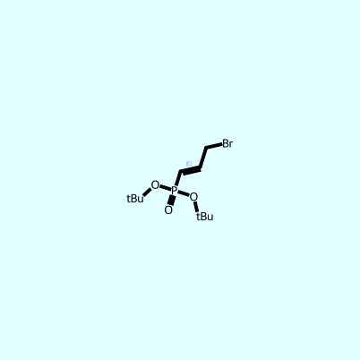 CC(C)(C)OP(=O)(/C=C/CBr)OC(C)(C)C